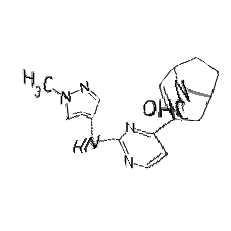 Cn1cc(Nc2nccc(C3=CC4CCC(C3)N4C=O)n2)cn1